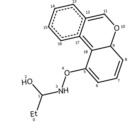 CCC(O)NOC1=CC=CC2OC=c3ccccc3=C12